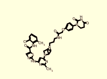 Cc1nc(Nc2ncc(C(=O)Nc3c(C)cccc3Cl)s2)cc(N2CC34C2C3N4CCCNC(=O)COc2ccc(N3CCC(=O)NC3=O)cc2)n1